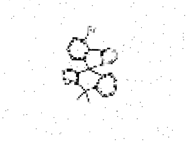 CC1(C)c2ccccc2C2(c3ccccc3-c3c(Br)cccc32)c2ccccc21